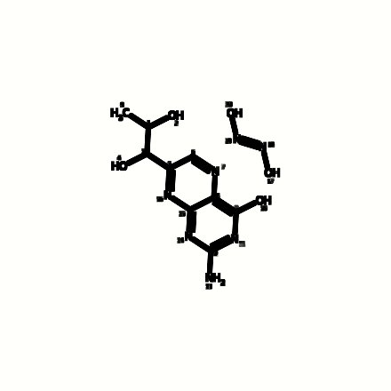 CC(O)C(O)c1cnc2c(O)nc(N)nc2n1.ON=NO